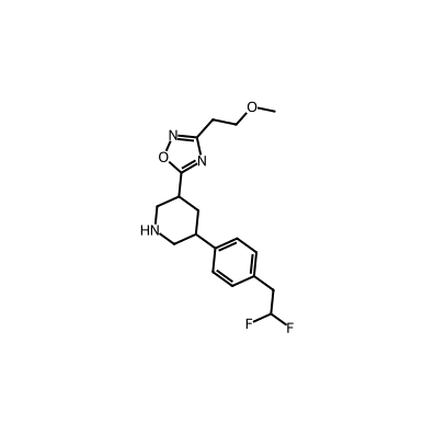 COCCc1noc(C2CNCC(c3ccc(CC(F)F)cc3)C2)n1